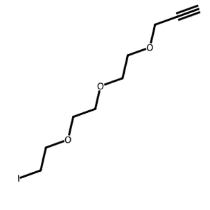 C#CCOCCOCCOCCI